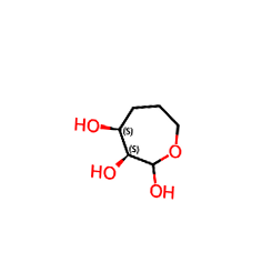 OC1OCCC[C@H](O)[C@@H]1O